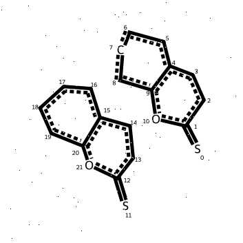 S=c1ccc2ccccc2o1.S=c1ccc2ccccc2o1